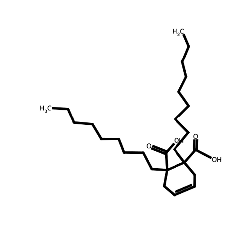 CCCCCCCCCC1(C(=O)O)CC=CCC1(CCCCCCCCC)C(=O)O